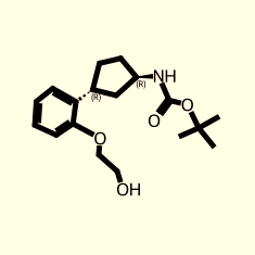 CC(C)(C)OC(=O)N[C@@H]1CC[C@@H](c2ccccc2OCCO)C1